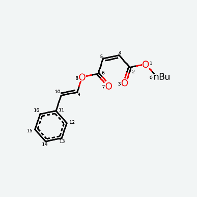 CCCCOC(=O)/C=C\C(=O)OC=Cc1ccccc1